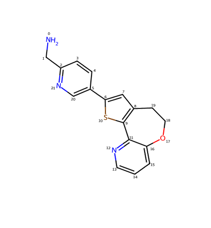 NCc1ccc(-c2cc3c(s2)-c2ncccc2OCC3)cn1